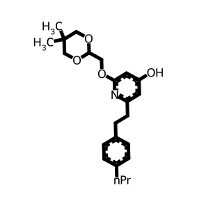 CCCc1ccc(CCc2cc(O)cc(OCC3OCC(C)(C)CO3)n2)cc1